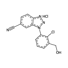 Cl.N#Cc1ccc2nnn(-c3cccc(CO)c3Cl)c2c1